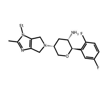 CCn1c(C)nc2c1CN([C@H]1CO[C@H](c3cc(F)ccc3F)[C@@H](N)C1)C2